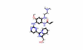 C=CC(=O)Nc1cc(Nc2nccc(-c3nc(CO)c4ccccn34)n2)c(OC)cc1N(C)CCN(C)C